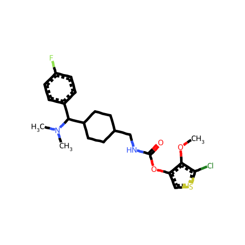 COc1c(OC(=O)NCC2CCC(C(c3ccc(F)cc3)N(C)C)CC2)csc1Cl